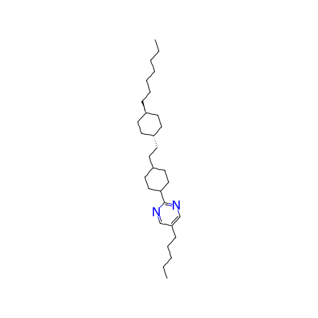 CCCCCCC[C@H]1CC[C@H](CCC2CCC(c3ncc(CCCCC)cn3)CC2)CC1